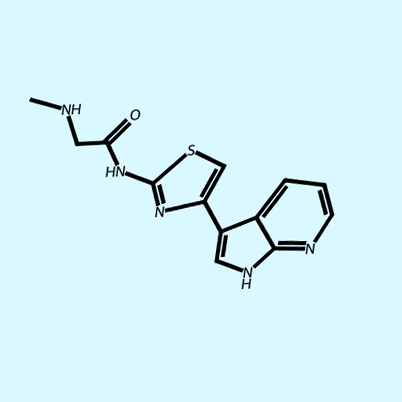 CNCC(=O)Nc1nc(-c2c[nH]c3ncccc23)cs1